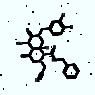 C#CCN1CC(=O)N2[C@@H](CCCC)C(=O)N(Cc3ccc(Cl)c(Cl)c3)C[C@@H]2N1C(=O)NCc1ccccc1